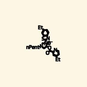 CCCCCN1CC(OC(=O)c2cc(CC)ccn2)[N+]([O-])(c2nc3ccc(CC)cc3s2)C1